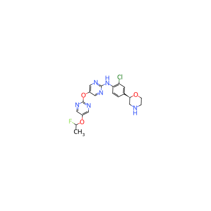 CC(F)Oc1cnc(Oc2cnc(Nc3ccc([C@@H]4CNCCO4)cc3Cl)nc2)nc1